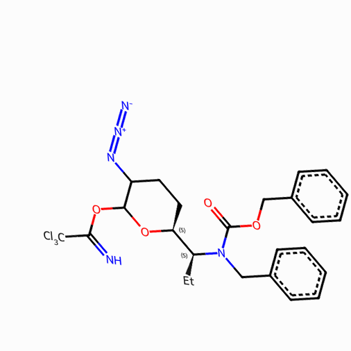 CC[C@@H]([C@@H]1CCC(N=[N+]=[N-])C(OC(=N)C(Cl)(Cl)Cl)O1)N(Cc1ccccc1)C(=O)OCc1ccccc1